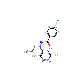 CC(C)CCN(NC(=O)c1ccc(F)cc1)c1nc(Cl)ncc1Br